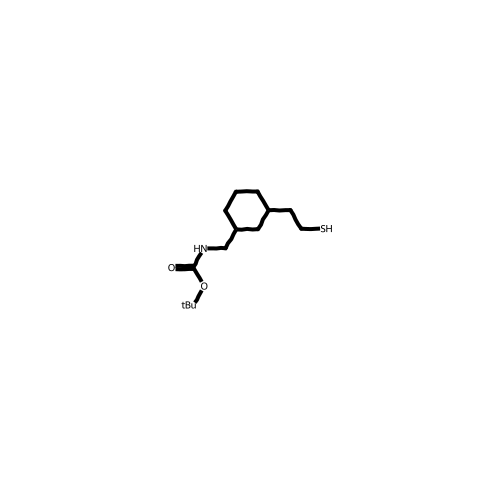 CC(C)(C)OC(=O)NCC1CCCC(CCS)C1